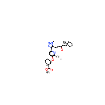 CCC1(CCC(=O)CCc2c(-c3ccc(O[C@H]4CCC[C@H](C(=O)OC(C)C)C4)c(C(F)(F)F)n3)nnn2C)CCCC1